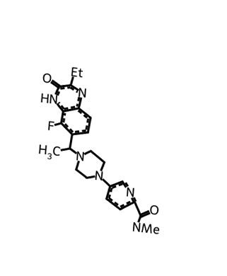 CCc1nc2ccc(C(C)N3CCN(c4ccc(C(=O)NC)nc4)CC3)c(F)c2[nH]c1=O